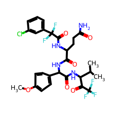 COc1ccc(C(NC(=O)C(CCC(N)=O)NC(=O)C(F)(F)c2cccc(Cl)c2)C(=O)NC(C(=O)C(F)(F)F)C(C)C)cc1